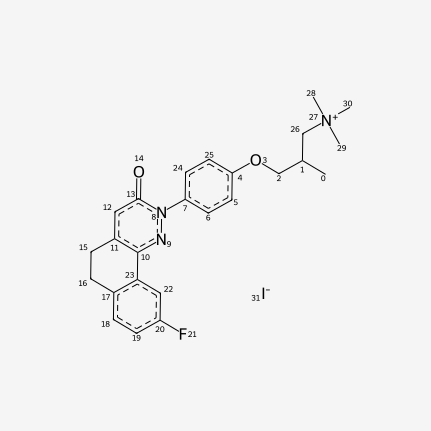 CC(COc1ccc(-n2nc3c(cc2=O)CCc2ccc(F)cc2-3)cc1)C[N+](C)(C)C.[I-]